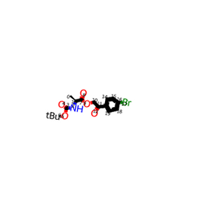 C[C@H](NC(=O)OC(C)(C)C)C(=O)OCC(=O)c1ccc(Br)cc1